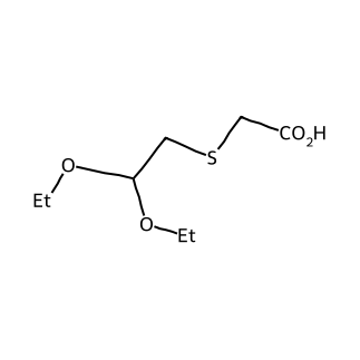 CCOC(CSCC(=O)O)OCC